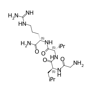 CC(C)C[C@H](NC(=O)CN)C(=O)N[C@H](C(=O)N[C@@H](CCCNC(=N)N)C(N)=O)C(C)C